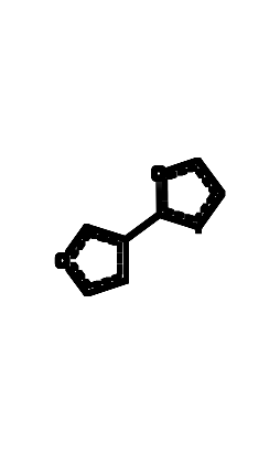 [c]1ccoc1-c1ccoc1